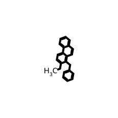 CCc1ccc2c(ccc3ccccc32)c1Cc1ccccc1